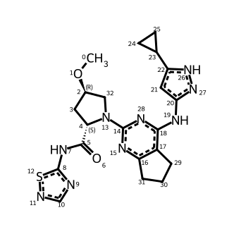 CO[C@@H]1C[C@@H](C(=O)Nc2ncns2)N(c2nc3c(c(Nc4cc(C5CC5)[nH]n4)n2)CCC3)C1